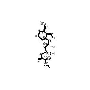 C=C(C[C@H](O)C[C@@H](C)[C@H]1CCC2C(=CBr)CCC[C@@]21C)C(=O)OC